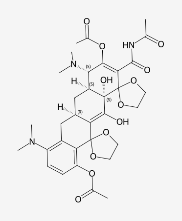 CC(=O)NC(=O)C1=C(OC(C)=O)[C@@H](N(C)C)[C@@H]2C[C@@H]3Cc4c(N(C)C)ccc(OC(C)=O)c4C4(OCCO4)C3=C(O)[C@]2(O)C12OCCO2